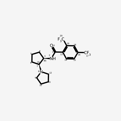 O=C(N[C@@H]1CCC[C@@H]1N1CCCC1)c1ccc(C(F)(F)F)cc1C(F)(F)F